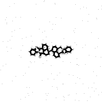 O=c1c2ccc(-c3ccc4c5c(cccc35)-c3nc5ccccc5n3C4)c3cccc(c32)c2nc3ccccc3n12